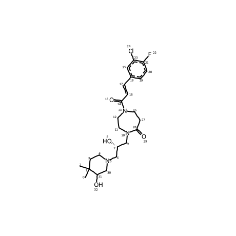 CC1(C)CCN(C[C@H](O)CN2CCN(C(=O)C=Cc3ccc(F)c(Cl)c3)CCC2=O)CC1O